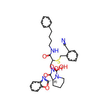 N#Cc1ccccc1CSC(CN(O)C(=O)[C@]1(c2nc3ccccc3o2)CCCCN1C(=O)O)C(=O)NCCCCc1ccccc1